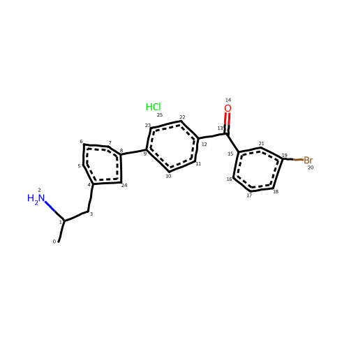 CC(N)Cc1cccc(-c2ccc(C(=O)c3cccc(Br)c3)cc2)c1.Cl